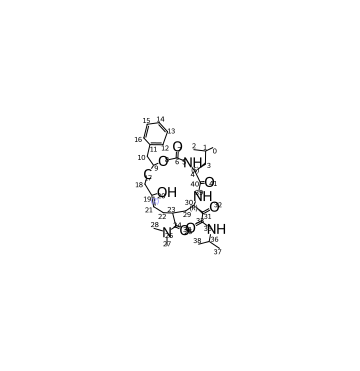 CC(C)C[C@@H]1NC(=O)OC(Cc2ccccc2)CC/C(O)=C/CC(C(=O)N(C)C)C[C@H](C(=O)C(=O)NC(C)C)NC1=O